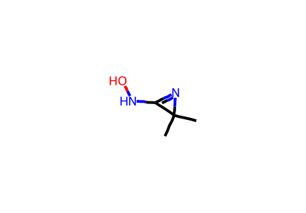 CC1(C)N=C1NO